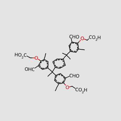 Cc1cc(C(C)(C)c2ccc(C(C)(c3cc(C)c(OCC(=O)O)c(C=O)c3)c3cc(C)c(OCC(=O)O)c(C=O)c3)cc2)cc(C=O)c1OCC(=O)O